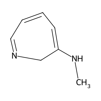 CNC1=CC=CC=NC1